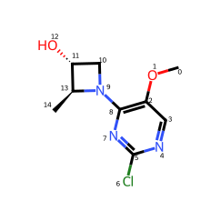 COc1cnc(Cl)nc1N1C[C@@H](O)[C@@H]1C